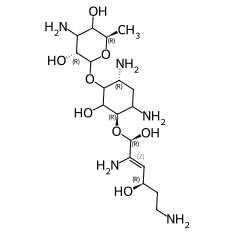 C[C@H]1OC(OC2C(O)[C@H](O[C@@H](O)/C(N)=C/[C@H](O)CCN)C(N)C[C@H]2N)[C@H](O)C(N)C1O